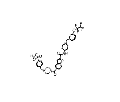 CS(=O)(=O)c1ccc(CN2CCN(C(=O)c3ccc4oc(C(=O)NC5CCN(Cc6cccc(OC(F)(F)C(F)F)c6)CC5)cc4c3)CC2)cc1